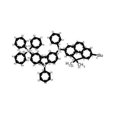 CC(C)(C)c1cc2c3c(ccc4cc(N(c5ccccc5)c5ccc6c(c5)c5cc([Si](c7ccccc7)(c7ccccc7)c7ccccc7)ccc5n6-c5ccccc5)cc(c43)C2(C)C)c1